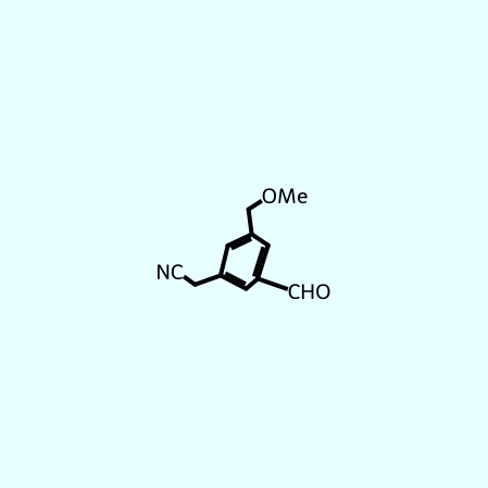 COCc1cc(C=O)cc(CC#N)c1